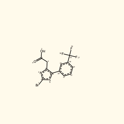 O=C(O)Cc1nc(Br)sc1-c1cccc(C(F)(F)F)c1